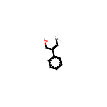 O=[N+]([O-])/C=C(\CO)c1ccccc1